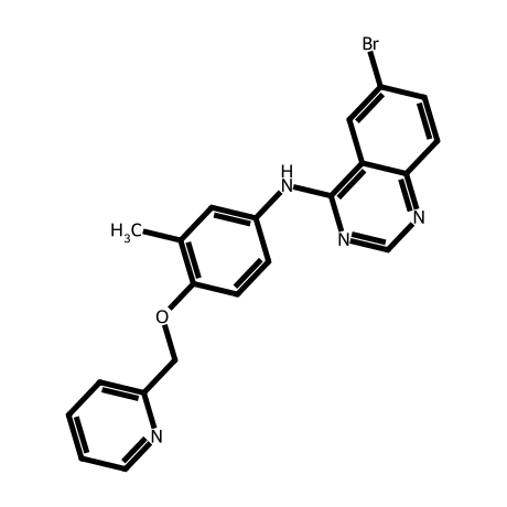 Cc1cc(Nc2ncnc3ccc(Br)cc23)ccc1OCc1ccccn1